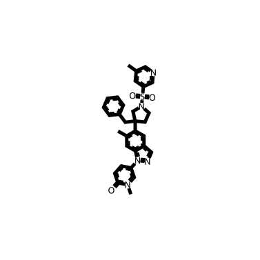 Cc1cncc(S(=O)(=O)N2CCC(Cc3ccccc3)(c3cc4cnn(-c5ccc(=O)n(C)c5)c4cc3C)C2)c1